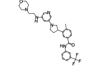 Cc1ccc(C(=O)Nc2cccc(C(F)(F)F)c2)cc1C1CCN(c2cncc(NCCN3CCOCC3)c2)C1